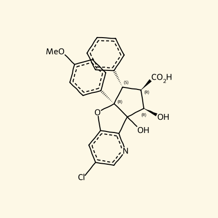 COc1ccc([C@@]23Oc4cc(Cl)cnc4C2(O)[C@H](O)[C@H](C(=O)O)[C@H]3c2ccccc2)cc1